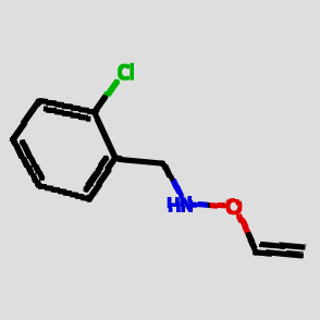 C=CONCc1ccccc1Cl